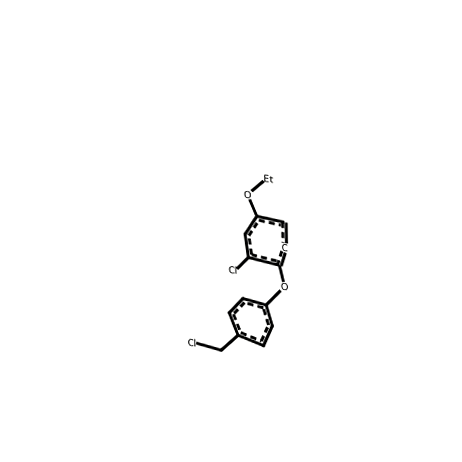 CCOc1ccc(Oc2ccc(CCl)cc2)c(Cl)c1